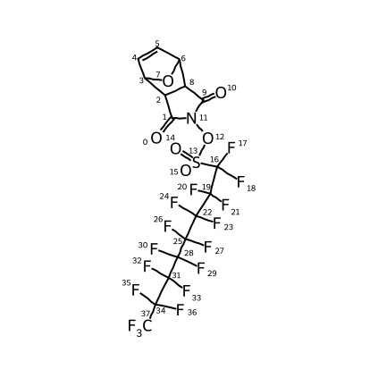 O=C1C2C3C=CC(O3)C2C(=O)N1OS(=O)(=O)C(F)(F)C(F)(F)C(F)(F)C(F)(F)C(F)(F)C(F)(F)C(F)(F)C(F)(F)F